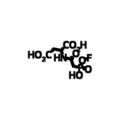 O=C(O)CC(NC(=O)CP(=O)(O)OF)C(=O)O